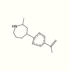 C=C(C)c1ccc(C2CCCNC(C)C2)cc1